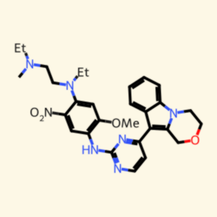 CCN(C)CCN(CC)c1cc(OC)c(Nc2nccc(-c3c4n(c5ccccc35)CCOC4)n2)cc1[N+](=O)[O-]